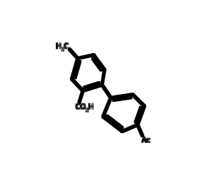 CC(=O)c1ccc(-c2ccc(C)cc2C(=O)O)cc1